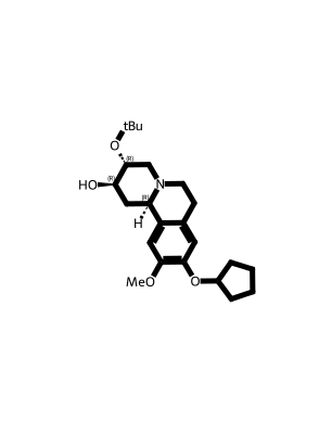 COc1cc2c(cc1OC1CCCC1)CCN1C[C@@H](OC(C)(C)C)[C@H](O)C[C@H]21